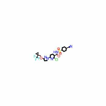 N#Cc1ccc(S(=O)(=O)NC(=O)c2ccc(-n3ccc(OCC4(C(F)(F)F)CC4)n3)nc2Cl)cc1